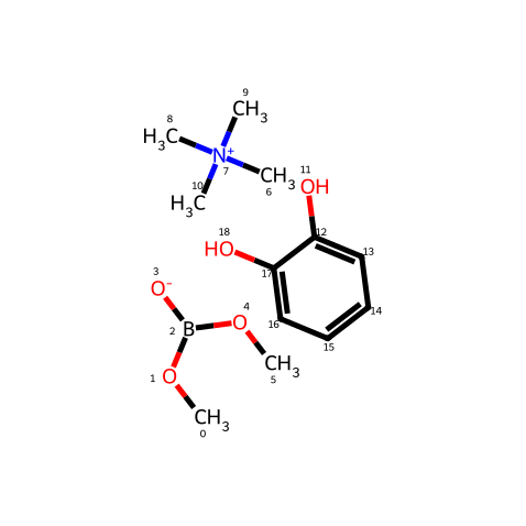 COB([O-])OC.C[N+](C)(C)C.Oc1ccccc1O